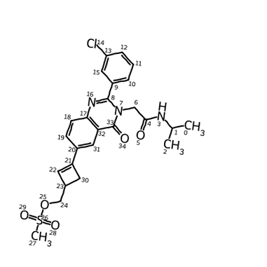 CC(C)NC(=O)Cn1c(-c2cccc(Cl)c2)nc2ccc(C3=CC(COS(C)(=O)=O)C3)cc2c1=O